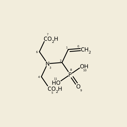 C=CC(N(CC(=O)O)CC(=O)O)P(=O)(O)O